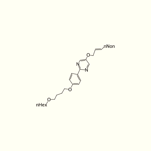 CCCCCCCCC/C=C/COc1cnc(-c2ccc(OCCCCOCCCCCC)cc2)nc1